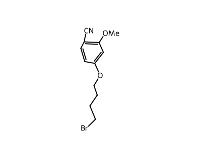 COc1cc(OCCCCBr)ccc1C#N